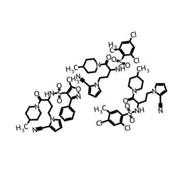 Cc1cc(Cl)cc(Cl)c1S(=O)(=O)NC(CCn1cccc1C#N)C(=O)N1CCC(C)CC1.Cc1cc(S(=O)(=O)NC(CCn2cccc2C#N)C(=O)N2CCC(C)CC2)c(Cl)cc1Cl.Cc1onc(-c2ccccc2)c1S(=O)(=O)NC(CCn1cccc1C#N)C(=O)N1CCC(C)CC1